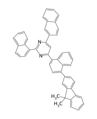 CC1(C)c2ccccc2-c2ccc(-c3ccc(-c4cc(-c5ccc6ccccc6c5)nc(-c5cccc6ccccc56)n4)c4ccccc34)cc21